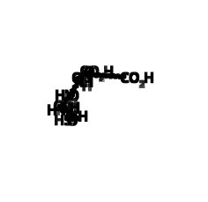 O=C(O)CCCCCCCCCCCCCCC(=O)NC(CCC(=O)NCCCCCC(=O)NCCCCC1NC(CCC(NS)C(=O)S)CNC1=O)C(=O)O